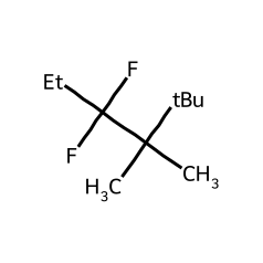 CCC(F)(F)C(C)(C)C(C)(C)C